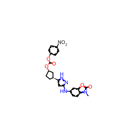 Cn1c(=O)oc2cc(Nc3cc([C@H]4CC[C@@H](OC(=O)Oc5ccc([N+](=O)[O-])cc5)C4)[nH]n3)ccc21